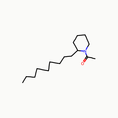 CCCCCCCCCC1CCCCN1C(C)=O